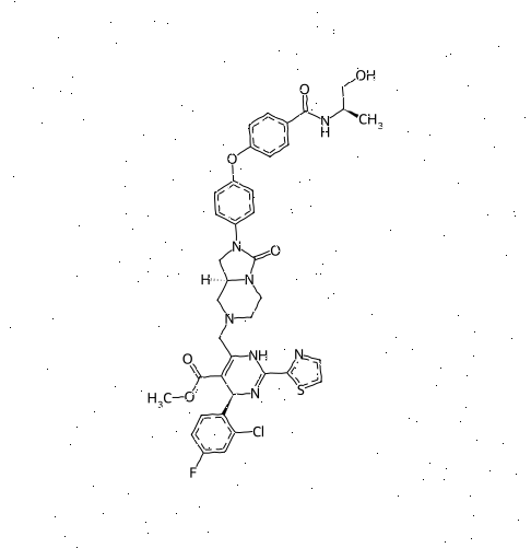 COC(=O)C1=C(CN2CCN3C(=O)N(c4ccc(Oc5ccc(C(=O)N[C@H](C)CO)cc5)cc4)C[C@@H]3C2)NC(c2nccs2)=N[C@H]1c1ccc(F)cc1Cl